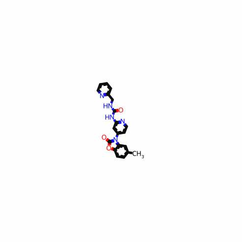 Cc1ccc2oc(=O)n(-c3ccnc(NC(=O)NCc4ccccn4)c3)c2c1